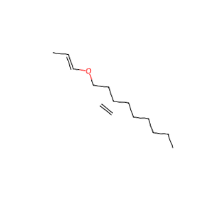 C=C.CC=COCCCCCCCCC